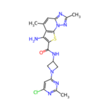 Cc1nc(Cl)cc(N2CC(NC(=O)c3sc4c(c(C)cc5nc(C)nn54)c3N)C2)n1